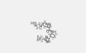 Cc1ccc(-c2nnn(C3CC(F)(F)C3)n2)cc1NC(=O)c1cnn2ccc(N3CC[C@](C)(O)C3)cc12